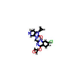 O=c1n(Cc2nc(OC3COC3)c3ccc(Cl)cc3n2)c2cnccc2n1C1CC1